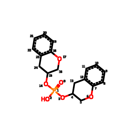 O=P(O)(OC1COc2ccccc2C1)OC1COc2ccccc2C1